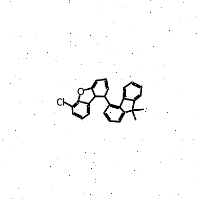 CC1(C)c2ccccc2-c2c(C3C=CC=C4Oc5c(Cl)cccc5C43)cccc21